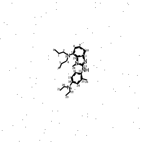 CCCN(CCC)c1cccc2nc(Nc3ccc(N(CC)CC)cc3C)n(C)c12